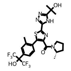 Cc1cc(C(O)(C(F)(F)F)C(F)(F)F)ccc1-c1sc(-c2nnc(C(C)(C)O)[nH]2)nc1C(=O)N1CCC[C@@H]1C